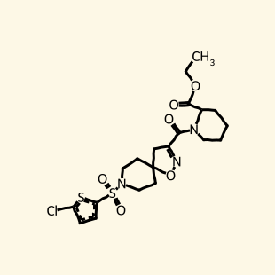 CCOC(=O)C1CCCCN1C(=O)C1=NOC2(CCN(S(=O)(=O)c3ccc(Cl)s3)CC2)C1